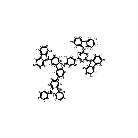 c1ccc(-n2c3ccccc3c3cc(-c4ccc5c(c4)c4cc(-n6c7ccccc7c7ccccc76)ccc4n5-c4ccc(-c5nc(-n6c7ccccc7c7ccccc76)nc(-n6c7ccccc7c7ccccc76)n5)cc4)ccc32)cc1